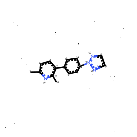 Cc1ccc(-c2ccc(-n3nccn3)cc2)c(C)n1